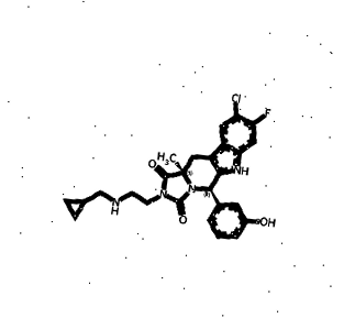 C[C@@]12Cc3c([nH]c4cc(F)c(Cl)cc34)[C@@H](c3cccc(O)c3)N1C(=O)N(CCNCC1CC1)C2=O